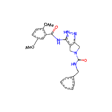 COc1ccc(OC)c(C(=O)Nc2[nH]nc3c2CN(C(=O)NCc2ccccc2)C3)c1